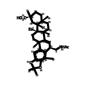 CC[C@@]12CC[C@]3(C)C(=C[C@@H](CNC(C)=O)c4c3cc3c(c4C)OC(C)(C)O3)[C@@]1(C)CC[C@@]1(C)CC[C@@](C)(C(=O)O)C[C@H]12